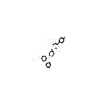 CC1(F)CC[C@@H](C(=O)N2CCC(O)(Cn3cnc(-c4ccc(F)cc4)c(N)c3=O)CC2)[C@H](c2ccccc2)C1